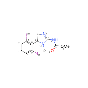 COC(=O)NC1=NCC(c2c(I)cccc2I)N1C